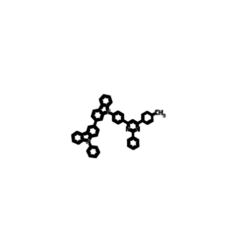 CC1C=CC(c2cc(-c3ccc(-n4c5ccccc5c5ccc(-c6ccc7c(c6)c6ccccc6n7-c6ccccc6)cc54)cc3)nc(-c3ccccc3)n2)=CC1